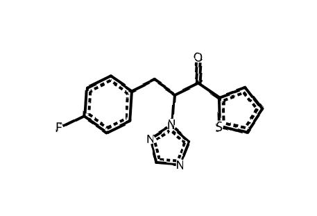 O=C(c1cccs1)C(Cc1ccc(F)cc1)n1cncn1